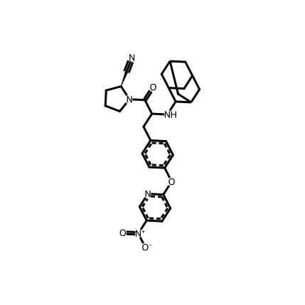 N#C[C@@H]1CCCN1C(=O)C(Cc1ccc(Oc2ccc([N+](=O)[O-])cn2)cc1)NC1C2CC3CC(C2)CC1C3